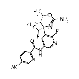 CC1OC(N)=N[C@](c2cc(NC(=O)c3ccc(C#N)cn3)cnc2F)(C(F)F)[C@@H]1C